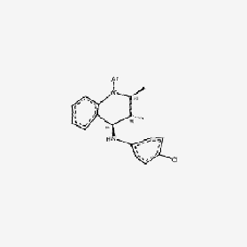 CC(=O)N1c2ccccc2[C@H](Nc2ccc(Cl)cc2)[C@@H](C)[C@@H]1C